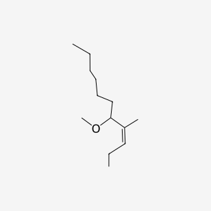 CCC=C(C)C(CCCCCC)OC